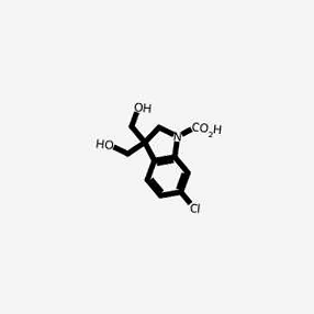 O=C(O)N1CC(CO)(CO)c2ccc(Cl)cc21